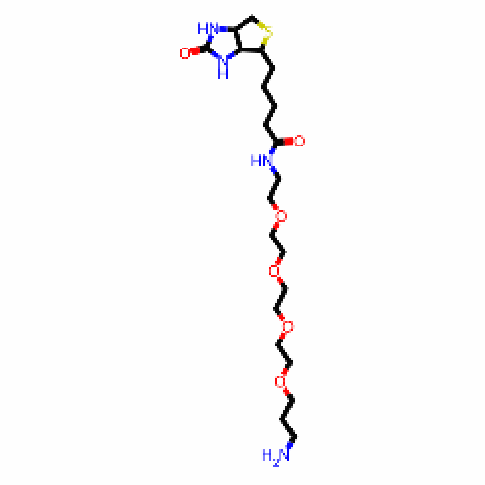 NCCCOCCOCCOCCOCCNC(=O)CCCCC1SCC2NC(=O)NC21